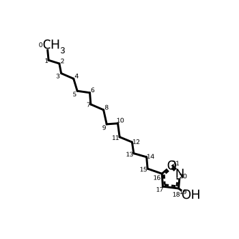 CCCCCCCCCCCCCCCCc1cc(O)no1